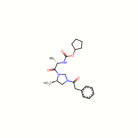 CC(C)(C)[C@H](NC(=O)OC1CCCC1)C(=O)N1CN(C(=O)Cc2ccccc2)C[C@H]1C(=O)O